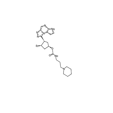 CC[C@@H]1C[C@H](OC(=O)NCCCN2CCCCC2)C[C@@H]1c1nnc2cnc3[nH]ccc3n12